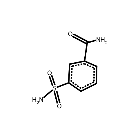 NC(=O)c1cccc(S(N)(=O)=O)c1